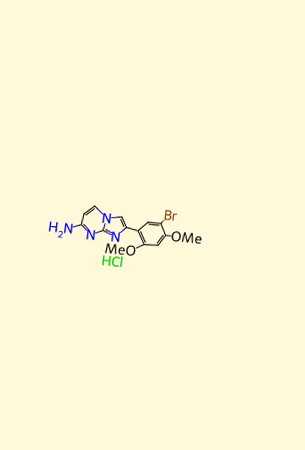 COc1cc(OC)c(-c2cn3ccc(N)nc3n2)cc1Br.Cl